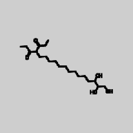 CCC(=O)C(CCCCCCCCCCCC(O)C(O)CO)C(=O)CC